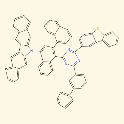 c1ccc(-c2cccc(-c3nc(-c4ccc5sc6ccccc6c5c4)nc(-c4c(-c5cccc6ccccc56)cc(-n5c6cc7ccccc7cc6c6cc7ccccc7cc65)c5ccccc45)n3)c2)cc1